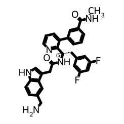 CNC(=O)c1cccc(-c2cccnc2[C@H](Cc2cc(F)cc(F)c2)NC(=O)Cc2c[nH]c3ccc(CN)cc23)c1